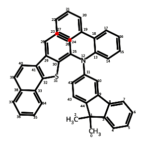 CC1(C)c2ccccc2-c2cc(N(c3ccccc3-c3ccccc3)c3cccc4c3sc3c5ccccc5ccc43)ccc21